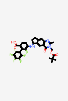 Cc1nc2cc3c(cc2c(=O)n1COC(=O)C(C)(C)C)C(Nc1ccc(C(=O)O)c(-c2c(F)c(F)c(F)c(F)c2F)c1F)CC3